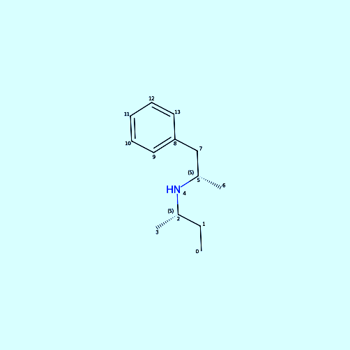 CC[C@H](C)N[C@@H](C)Cc1ccccc1